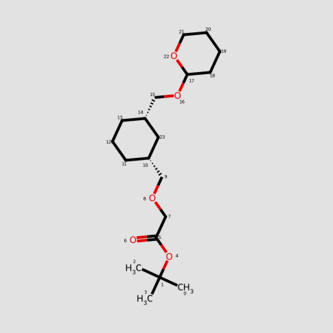 CC(C)(C)OC(=O)COC[C@@H]1CCC[C@H](COC2CCCCO2)C1